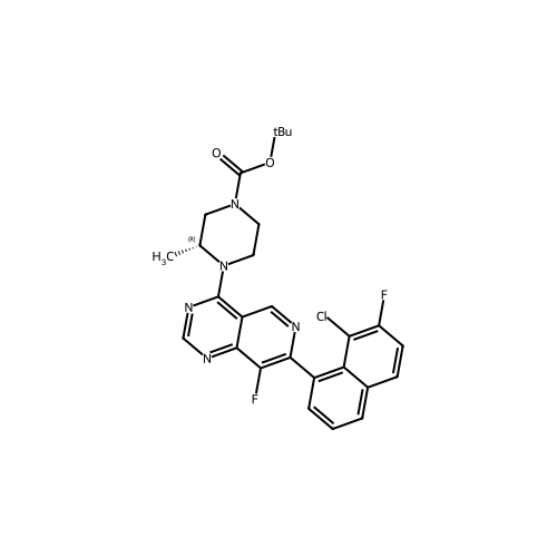 C[C@@H]1CN(C(=O)OC(C)(C)C)CCN1c1ncnc2c(F)c(-c3cccc4ccc(F)c(Cl)c34)ncc12